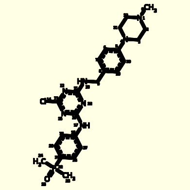 CN1CCN(c2ccc(CNc3nc(Cl)nc(Nc4ccc(P(C)(C)=O)cc4)n3)cc2)CC1